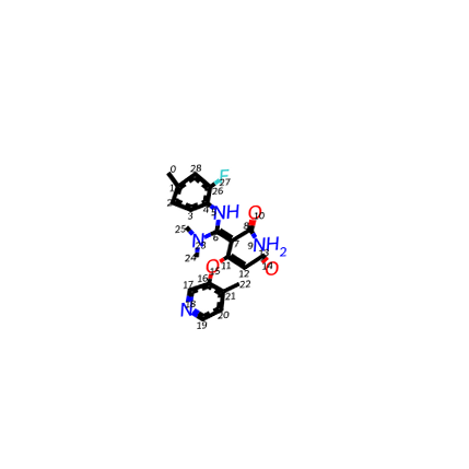 Cc1ccc(N/C(=C(C(N)=O)/C(=C\C=O)Oc2cnccc2C)N(C)C)c(F)c1